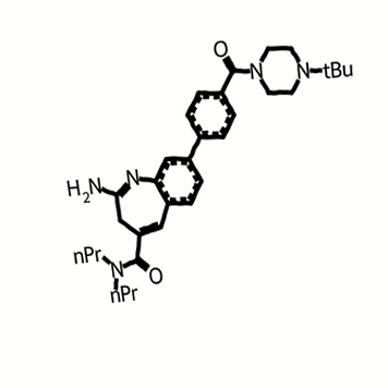 CCCN(CCC)C(=O)C1=Cc2ccc(-c3ccc(C(=O)N4CCN(C(C)(C)C)CC4)cc3)cc2N=C(N)C1